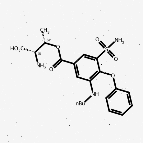 CCCCNc1cc(C(=O)O[C@@H](C)[C@H](N)C(=O)O)cc(S(N)(=O)=O)c1Oc1ccccc1